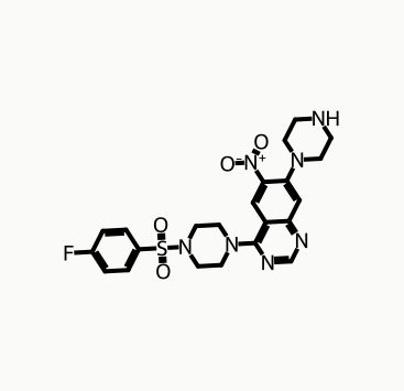 O=[N+]([O-])c1cc2c(N3CCN(S(=O)(=O)c4ccc(F)cc4)CC3)ncnc2cc1N1CCNCC1